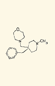 CN1CCC(Cc2ccccc2)(CN2CCOCC2)CC1